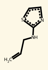 C=CCNc1nccs1